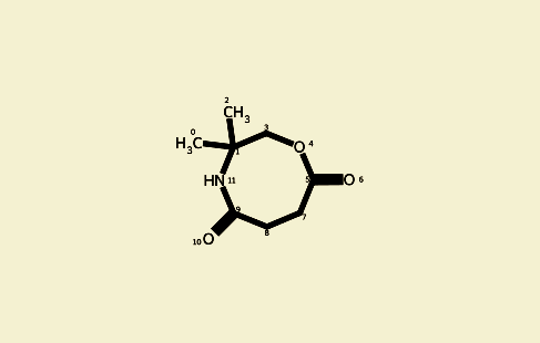 CC1(C)COC(=O)CCC(=O)N1